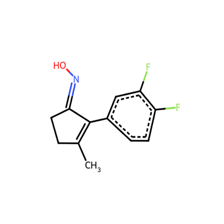 CC1=C(c2ccc(F)c(F)c2)/C(=N/O)CC1